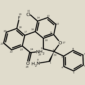 NC[C@@]1(c2ccccc2)Cc2c(ccc(Cl)c2-c2c(F)cccc2C(N)=O)O1